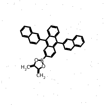 C=C1OB(c2ccc3c(-c4ccc5ccccc5c4)c4ccccc4c(-c4ccc5ccccc5c4)c3c2)OC1=C